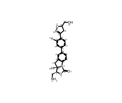 NC[C@@H]1OC(=O)N2c3ccc(-c4ccc(C5=NOC(CO)C5)c(F)c4)cc3C[C@@H]12